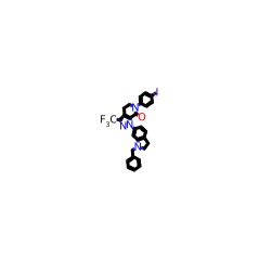 O=C1c2c(c(C(F)(F)F)nn2-c2ccc3c(c2)N(Cc2ccccc2)CC3)CCN1c1ccc(I)cc1